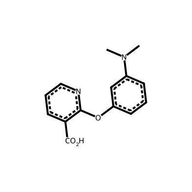 CN(C)c1cccc(Oc2ncccc2C(=O)O)c1